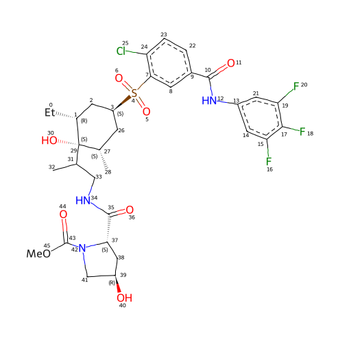 CC[C@@H]1C[C@@H](S(=O)(=O)c2cc(C(=O)Nc3cc(F)c(F)c(F)c3)ccc2Cl)C[C@H](C)[C@@]1(O)C(C)CNC(=O)[C@@H]1C[C@@H](O)CN1C(=O)OC